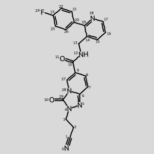 N#CCCn1nc2ccc(C(=O)NCc3cccnc3-c3ccc(F)cc3)cn2c1=O